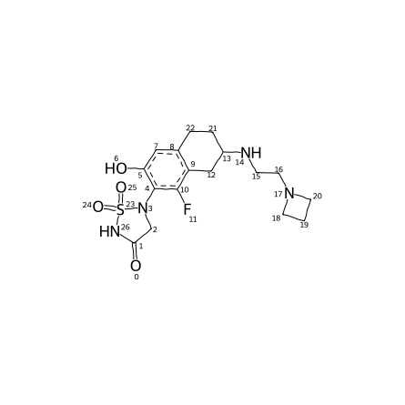 O=C1CN(c2c(O)cc3c(c2F)CC(NCCN2CCC2)CC3)S(=O)(=O)N1